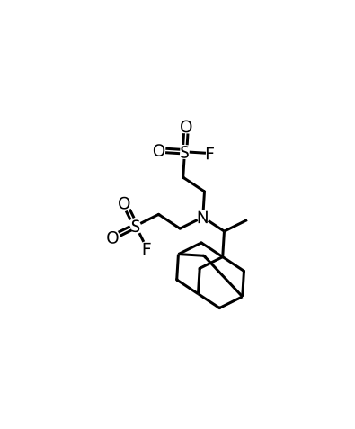 CC(N(CCS(=O)(=O)F)CCS(=O)(=O)F)C12CC3CC(CC(C3)C1)C2